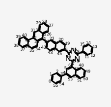 c1ccc(-c2cc(-c3nc(-c4ccccc4)nc(-c4ccc5cc(-c6c7ccccc7cc7c6ccc6ccccc67)ccc5c4)n3)c3ccccc3c2)cc1